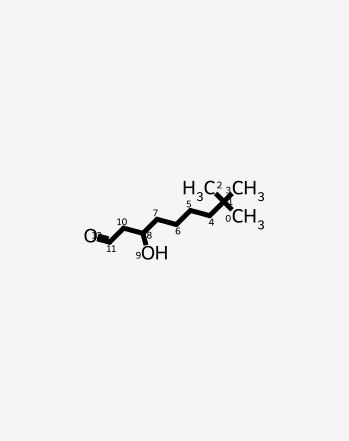 CC(C)(C)CCCCC(O)CC=O